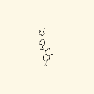 CCc1cc(OC)ccc1C(=O)Nc1ccc(-c2csc(C)n2)cc1